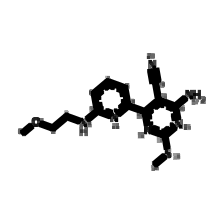 COCCNc1cccc(-c2nc(SC)nc(N)c2C#N)n1